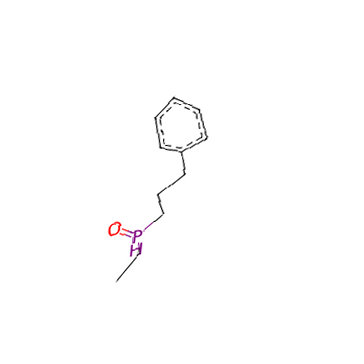 CC[PH](=O)CCCc1ccccc1